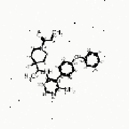 C=CC(=O)N1CCC(F)(C(C)Nc2ncnc(N)c2-c2ccc(Oc3ccccc3)cc2)CC1